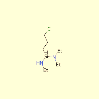 CCN[SiH](CCCCl)N(CC)CC